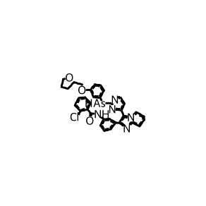 O=C(Nc1cccc(-c2nc3ccccn3c2-c2ccnc([AsH]c3cccc(OCC4CCCO4)c3)n2)c1)c1ccccc1Cl